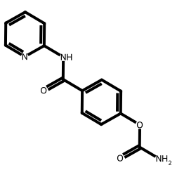 NC(=O)Oc1ccc(C(=O)Nc2ccccn2)cc1